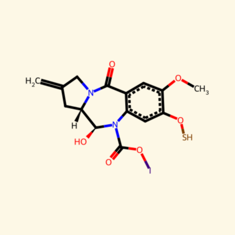 C=C1C[C@H]2[C@H](O)N(C(=O)OI)c3cc(OS)c(OC)cc3C(=O)N2C1